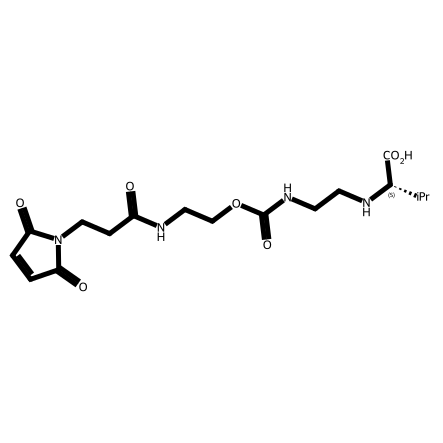 CC(C)[C@H](NCCNC(=O)OCCNC(=O)CCN1C(=O)C=CC1=O)C(=O)O